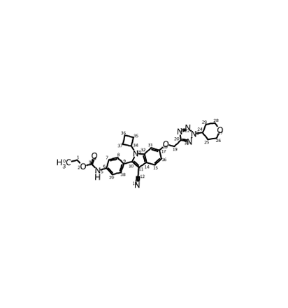 CCOC(=O)Nc1ccc(-c2c(C#N)c3ccc(OCc4nnn(C5CCOCC5)n4)cc3n2C2CCC2)cc1